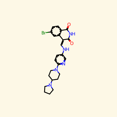 O=C1NC(=O)c2ccc(Br)cc2C1=CNc1ccc(N2CCC(N3CCCC3)CC2)nc1